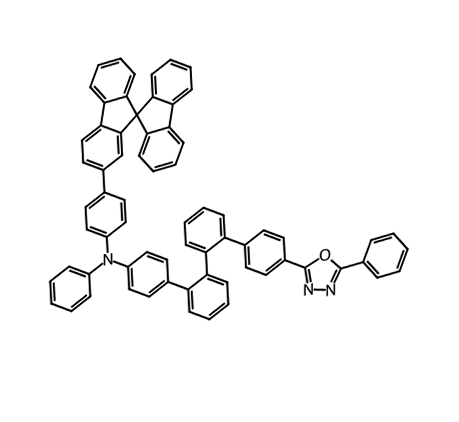 c1ccc(-c2nnc(-c3ccc(-c4ccccc4-c4ccccc4-c4ccc(N(c5ccccc5)c5ccc(-c6ccc7c(c6)C6(c8ccccc8-c8ccccc86)c6ccccc6-7)cc5)cc4)cc3)o2)cc1